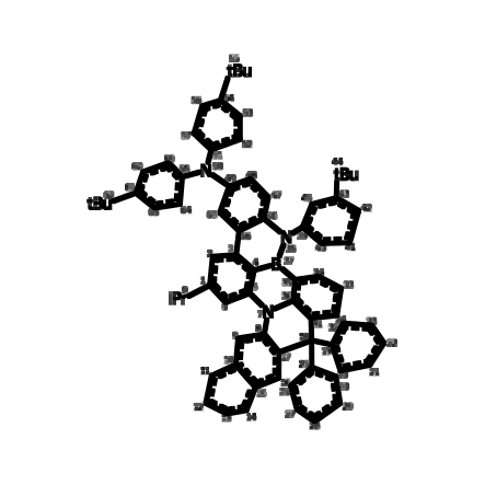 CC(C)c1cc2c3c(c1)N1c4cc5ccccc5cc4C(c4ccccc4)(c4ccccc4)c4cccc(c41)B3N(c1cccc(C(C)(C)C)c1)c1ccc(N(c3ccc(C(C)(C)C)cc3)c3ccc(C(C)(C)C)cc3)cc1-2